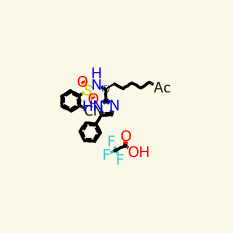 CC(=O)CCCCC[C@H](NS(=O)(=O)c1ccccc1C#N)c1ncc(-c2ccccc2)[nH]1.O=C(O)C(F)(F)F